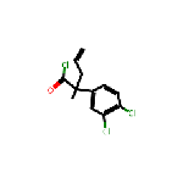 C=CCC(C)(C(=O)Cl)c1ccc(Cl)c(Cl)c1